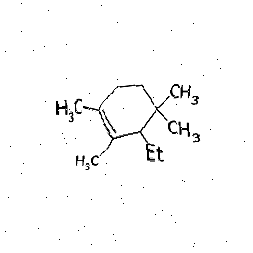 CCC1C(C)=C(C)CCC1(C)C